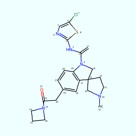 C=C(Nc1ncc(Cl)s1)N1CC2(CCN(C(C)=O)C2)c2cc(CC(=O)N3CCC3)ccc21